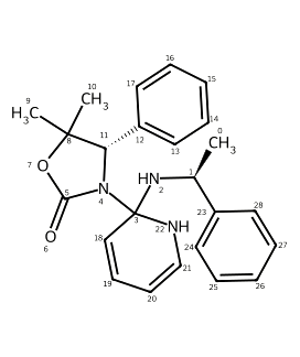 C[C@H](NC1(N2C(=O)OC(C)(C)[C@@H]2c2ccccc2)C=CC=CN1)c1ccccc1